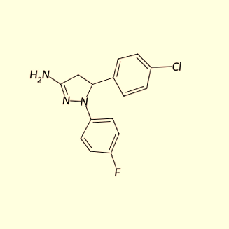 NC1=NN(c2ccc(F)cc2)C(c2ccc(Cl)cc2)C1